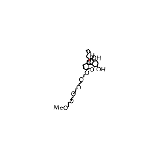 COCCOCCOCCOCCOCCOc1ccc2c3c1OC1[C@@H](O)CC[C@@]4(O)[C@@H](C2)N(CC2CCC2)CC[C@]314